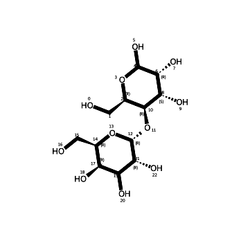 OC[C@H]1OC(O)[C@H](O)[C@H](O)[C@H]1O[C@H]1O[C@H](CO)[C@H](O)C(O)[C@H]1O